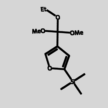 CCOC(OC)(OC)c1coc([Si](C)(C)C)c1